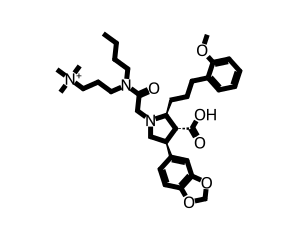 CCCCN(CCC[N+](C)(C)C)C(=O)CN1C[C@H](c2ccc3c(c2)OCO3)[C@@H](C(=O)O)[C@@H]1CCCc1ccccc1OC